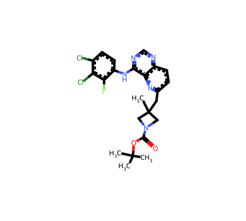 CC1(Cc2ccc3ncnc(Nc4ccc(Cl)c(Cl)c4F)c3n2)CN(C(=O)OC(C)(C)C)C1